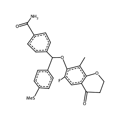 CSc1ccc(C(Oc2c(F)cc3c(c2C)OCCC3=O)c2ccc(C(N)=O)cc2)cc1